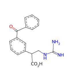 N=C(N)NCC(C(=O)O)c1cccc(C(=O)c2ccccc2)c1